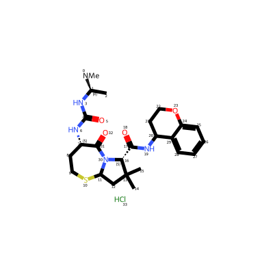 CN[C@@H](C)NC(=O)N[C@H]1CCSC2CC(C)(C)[C@@H](C(=O)NC3CCOc4ccccc43)N2C1=O.Cl